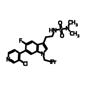 CC(C)Cn1cc(CCNS(=O)(=O)N(C)C)c2cc(F)c(-c3ccncc3Cl)cc21